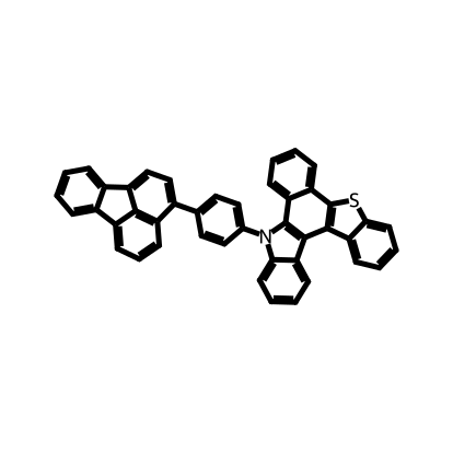 c1ccc2c(c1)-c1cccc3c(-c4ccc(-n5c6ccccc6c6c7c8ccccc8sc7c7ccccc7c65)cc4)ccc-2c13